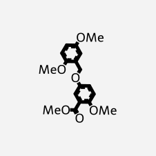 COC(=O)c1cc(OCc2cc(OC)ccc2OC)ccc1OC